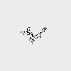 CN(C)c1ccccc1C1CCN(c2nc(C3(F)CCC3)nc3ccc(CNCCN4CCOCC4)cc23)CC1